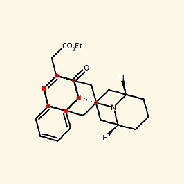 CCOC(=O)Cc1nc2ccccc2n([C@H]2C[C@H]3CCC[C@@H](C2)N3C2CC3CCCC(C3)C2)c1=O